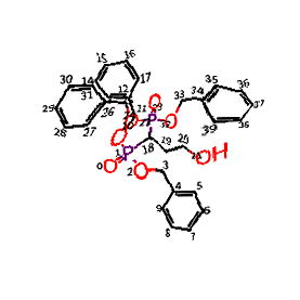 O=P(OCc1ccccc1)(OCc1ccccc1)C(CCO)P(=O)(OCc1ccccc1)OCc1ccccc1